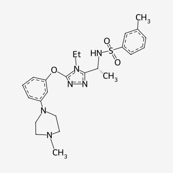 CCn1c(Oc2cccc(N3CCN(C)CC3)c2)nnc1[C@@H](C)NS(=O)(=O)c1cccc(C)c1